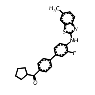 Cc1ccc2nc(Nc3ccc(-c4ccc(C(=O)C5CCCC5)cc4)cc3F)sc2c1